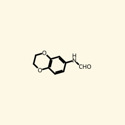 O=CNc1ccc2c(c1)OCCO2